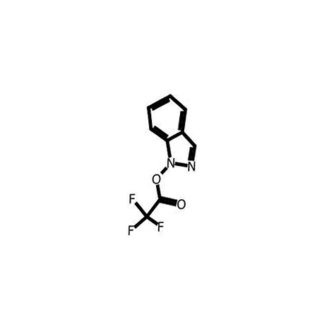 O=C(On1ncc2ccccc21)C(F)(F)F